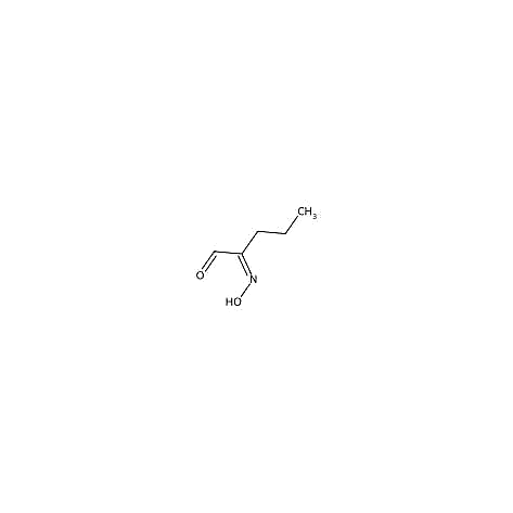 CCCC(C=O)=NO